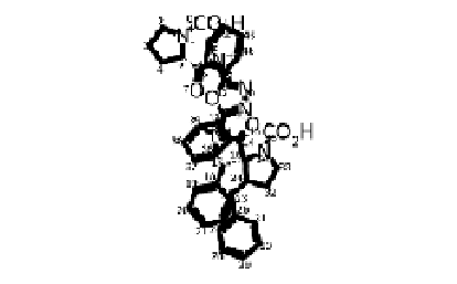 O=C(O)N1CCC[C@H]1C(=O)[N+]1(c2nnc([N+]3(C(=O)[C@]4(Cc5ccccc5)C(Cc5ccccc5)CCN4C(=O)O)C4=CC=C3C=C4)o2)C2=CC=C1C=C2